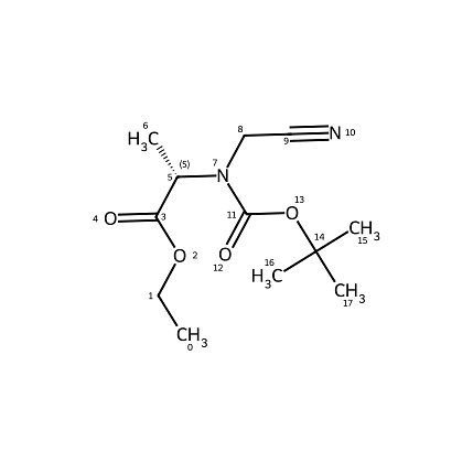 CCOC(=O)[C@H](C)N(CC#N)C(=O)OC(C)(C)C